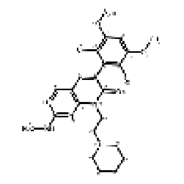 CNc1ncc2cc(-c3c(Cl)c(OC)cc(OC)c3Cl)c(=O)n(CCN3CCCCC3)c2n1